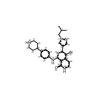 CC(C)Cn1cc(-c2nc(Nc3ccc(C4CCNCC4)cc3)c3c(=O)[nH]ccc3c2Br)cn1